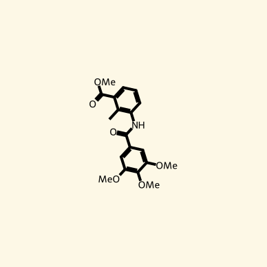 COC(=O)c1cccc(NC(=O)c2cc(OC)c(OC)c(OC)c2)c1C